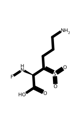 NCCCC([C@H](NF)C(=O)O)=S(=O)=O